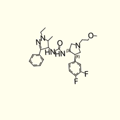 CCN1N=C(c2ccccc2)C(NC(=O)N[C@@H]2CN(CCOC)C[C@H]2c2ccc(F)c(F)c2)C1C